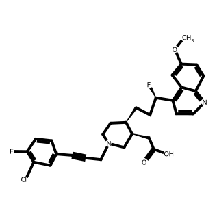 COc1ccc2nccc([C@H](F)CC[C@@H]3CCN(CC#Cc4ccc(F)c(Cl)c4)C[C@@H]3CC(=O)O)c2c1